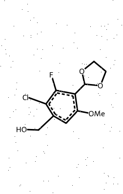 COc1cc(CO)c(Cl)c(F)c1C1OCCO1